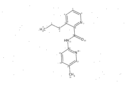 CCSc1cccnc1C(=O)Nc1ccc(C)cn1